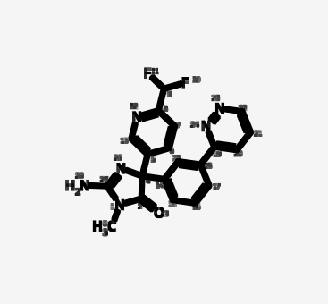 CN1C(=O)C(c2ccc(C(F)F)nc2)(c2cccc(-c3cccnn3)c2)N=C1N